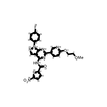 COCCOc1ccc(-c2nc(NC(=O)c3ccc([N+](=O)[O-])s3)c3cnn(-c4ccc(F)cc4)c3n2)cn1